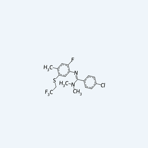 Cc1cc(F)c(/N=C(/c2ccc(Cl)cc2)N(C)C)cc1SCC(F)(F)F